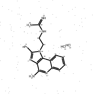 CCCc1nc2c(N)nc3ccccc3c2n1CCNC(=N)N.Cl.Cl